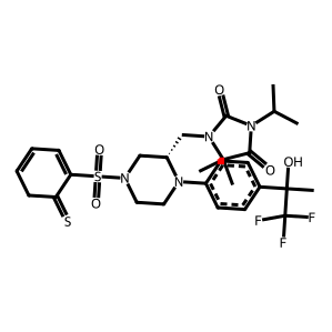 CC(C)N1C(=O)N(C[C@H]2CN(S(=O)(=O)C3=CC=CCC3=S)CCN2c2ccc(C(C)(O)C(F)(F)F)cc2)C(C)(C)C1=O